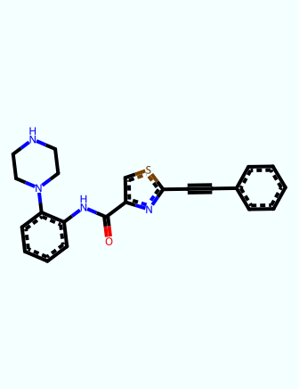 O=C(Nc1ccccc1N1CCNCC1)c1csc(C#Cc2ccccc2)n1